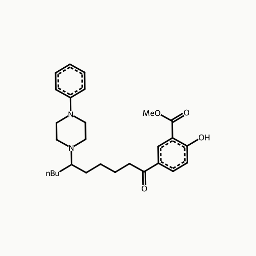 CCCCC(CCCCC(=O)c1ccc(O)c(C(=O)OC)c1)N1CCN(c2ccccc2)CC1